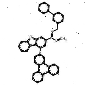 C=N/C(=N\Cc1cccc(-c2ccccc2)c1)c1cc(-c2ccc3c4ccccc4c4ccccc4c3c2)c2c(c1)oc1ccccc12